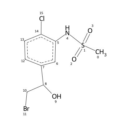 CS(=O)(=O)Nc1cc(C(O)CBr)ccc1Cl